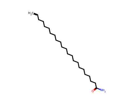 C=CCCCCCCCCCCCCCCCCCCCCC(N)=O